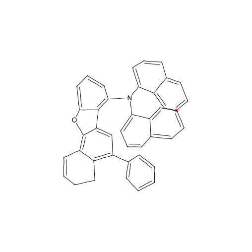 C1=Cc2c(c(-c3ccccc3)cc3c2oc2cccc(N(c4cccc5ccccc45)c4cccc5ccccc45)c23)CC1